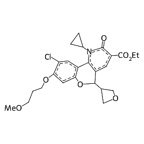 CCOC(=O)c1cc2c(n(C3CC3)c1=O)-c1cc(Cl)c(OCCCOC)cc1OC2C1COC1